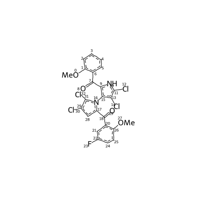 COc1ccccc1C(=O)c1[nH]c(Cl)c(Cl)c1-n1c(C(=O)c2cc(F)ccc2OC)cc(Cl)c1Cl